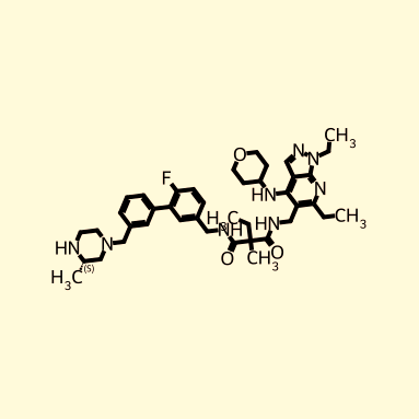 CCc1nc2c(cnn2CC)c(NC2CCOCC2)c1CNC(=O)C(C)(CC)C(=O)NCc1ccc(F)c(-c2cccc(CN3CCN[C@@H](C)C3)c2)c1